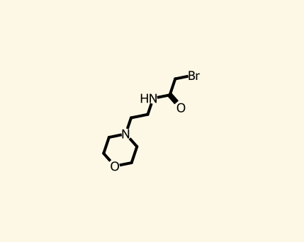 O=C(CBr)NCCN1CCOCC1